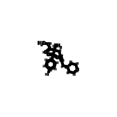 COC(=O)C(N)(CC#CCN1CCOCC1)S(=O)(=O)c1ccc(I)cc1